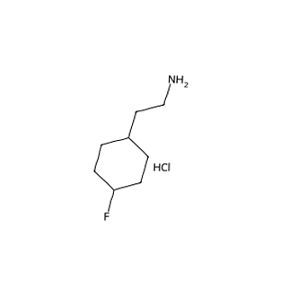 Cl.NCCC1CCC(F)CC1